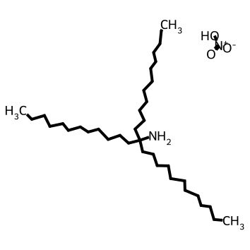 CCCCCCCCCCCCC(N)(CCCCCCCCCCCC)CCCCCCCCCCCC.O=[N+]([O-])O